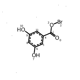 O=C(OBr)c1cc(O)cc(O)c1